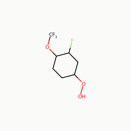 OOC1CCC(OC(F)(F)F)C(F)C1